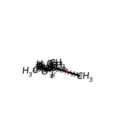 CCCCCCCCCCCCCCCCOc1ccc(C(=O)NCc2cccc[n+]2CC)cc1C(C)(C)C.[I-]